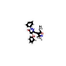 Cc1noc(C)c1-c1nn(-c2ccccc2)c(=O)cc1Oc1ccccc1